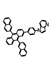 c1ccc2cc(-c3c4ccccc4c(-c4ccc5ccccc5c4)c4cc(-c5ccc(-n6ccc7ncccc76)cc5)ccc34)ccc2c1